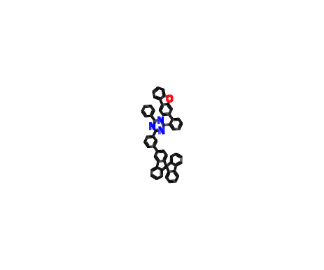 c1ccc(-c2nc(-c3cccc(-c4ccc5c(c4)-c4ccccc4C54c5ccccc5-c5ccccc54)c3)nc(-c3ccccc3-c3ccc4c(c3)oc3ccccc34)n2)cc1